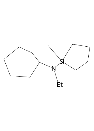 CCN(C1CCCCC1)[Si]1(C)CCCC1